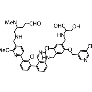 CNC(CCC=O)CNCc1ccc(-c2cccc(-c3cccc(NCc4cc(OCc5cncc(C#N)c5)c(CNC(C=O)CO)cc4Cl)c3C=N)c2Cl)nc1OC